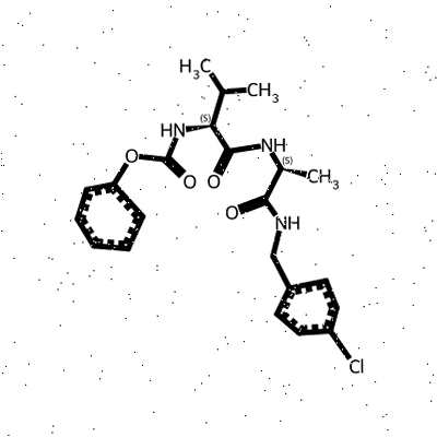 CC(C)[C@H](NC(=O)Oc1ccccc1)C(=O)N[C@@H](C)C(=O)NCc1ccc(Cl)cc1